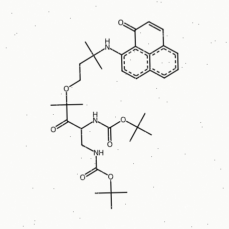 CC(C)(CCOC(C)(C)C(=O)C(CNC(=O)OC(C)(C)C)NC(=O)OC(C)(C)C)Nc1ccc2cccc3c2c1C(=O)C=C3